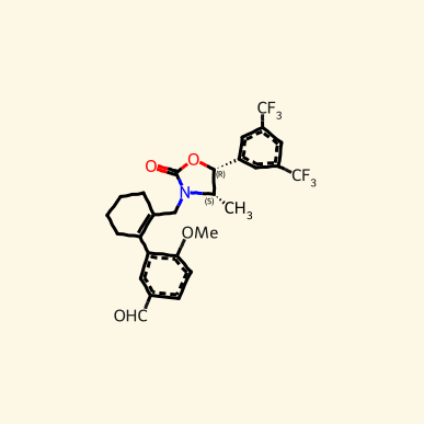 COc1ccc(C=O)cc1C1=C(CN2C(=O)O[C@H](c3cc(C(F)(F)F)cc(C(F)(F)F)c3)[C@@H]2C)CCCC1